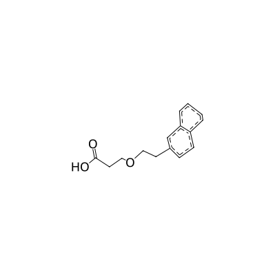 O=C(O)CCOCCc1ccc2ccccc2c1